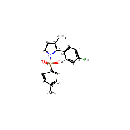 Cc1ccc(S(=O)(=O)N2CCC(C)C2c2ccc(F)cc2)cc1